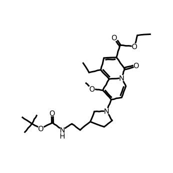 CCOC(=O)c1cc(CC)c2c(OC)c(N3CCC(CCNC(=O)OC(C)(C)C)C3)ccn2c1=O